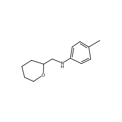 Cc1ccc(NCC2CCCCO2)cc1